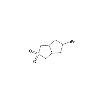 CC(C)C1CC2CS(=O)(=O)CC2C1